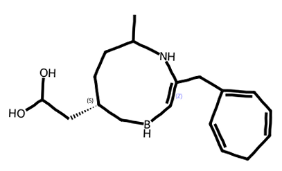 CC1CC[C@@H](CC(O)O)CB/C=C(/CC2=CC=CCC=C2)N1